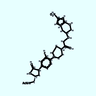 CC(=O)NC[C@H]1CN(c2ccc(N3CCN(C(=O)CO[C@@H]4COc5nc([N+](=O)[O-])cn5C4)CC3)c(F)c2)C(=O)O1